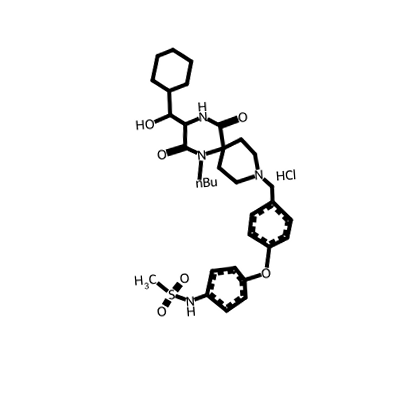 CCCCN1C(=O)C(C(O)C2CCCCC2)NC(=O)C12CCN(Cc1ccc(Oc3ccc(NS(C)(=O)=O)cc3)cc1)CC2.Cl